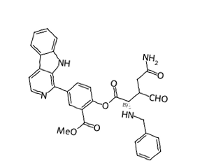 COC(=O)c1cc(-c2nccc3c2[nH]c2ccccc23)ccc1OC(=O)[C@@H](NCc1ccccc1)C(C=O)CC(N)=O